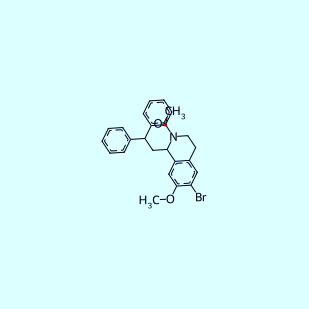 COc1cc2c(cc1Br)CCN(C(C)=O)C2CC(c1ccccc1)c1ccccc1